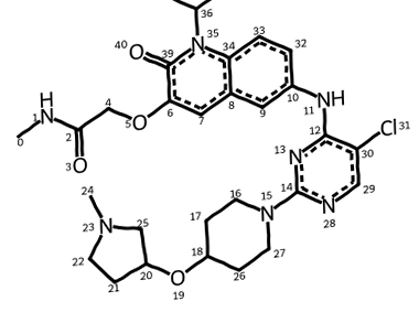 CNC(=O)COc1cc2cc(Nc3nc(N4CCC(OC5CCN(C)C5)CC4)ncc3Cl)ccc2n(C(C)C)c1=O